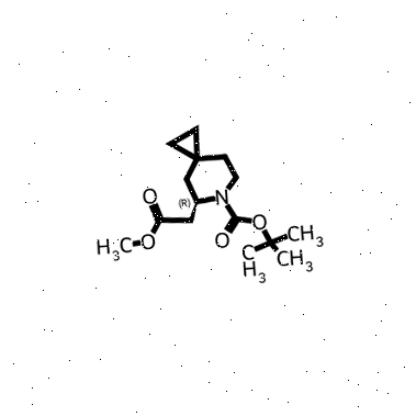 COC(=O)C[C@H]1CC2(CCN1C(=O)OC(C)(C)C)CC2